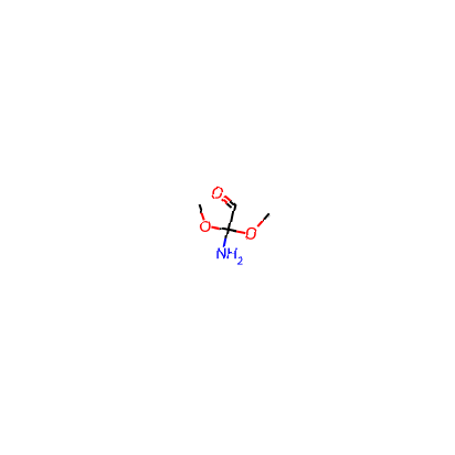 COC(N)(C=O)OC